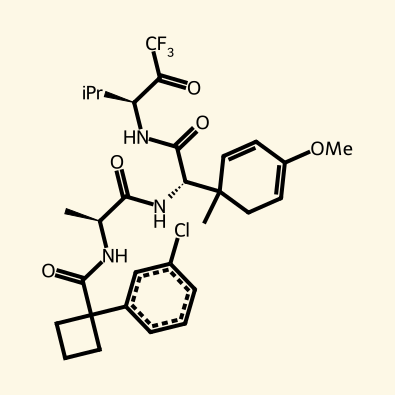 COC1=CCC(C)([C@H](NC(=O)[C@H](C)NC(=O)C2(c3cccc(Cl)c3)CCC2)C(=O)N[C@H](C(=O)C(F)(F)F)C(C)C)C=C1